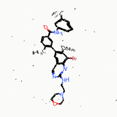 COc1c(-c2cc(C(=O)Nc3cccc(C(F)(F)F)c3)ccc2C)cc2cnc(NCCN3CCOCC3)nc2c1Br